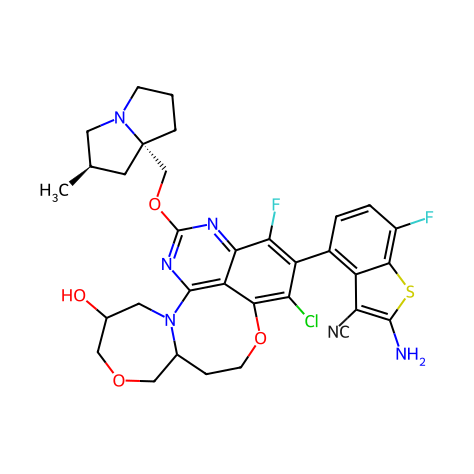 C[C@H]1CN2CCC[C@@]2(COc2nc3c4c(c(Cl)c(-c5ccc(F)c6sc(N)c(C#N)c56)c(F)c4n2)OCCC2COCC(O)CN32)C1